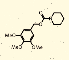 COc1cc(COC(=O)N2CCCCC2)cc(OC)c1OC